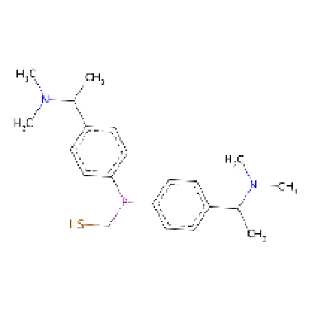 CC(c1ccc(P(CS)c2ccc(C(C)N(C)C)cc2)cc1)N(C)C